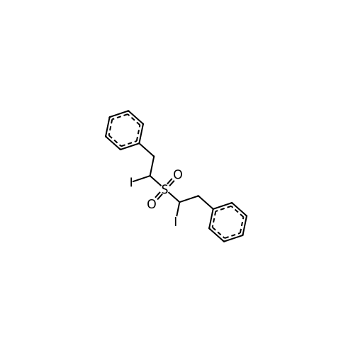 O=S(=O)(C(I)Cc1ccccc1)C(I)Cc1ccccc1